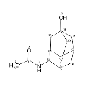 CC(=O)NC1C2CC3CC1CC(O)(C3)C2